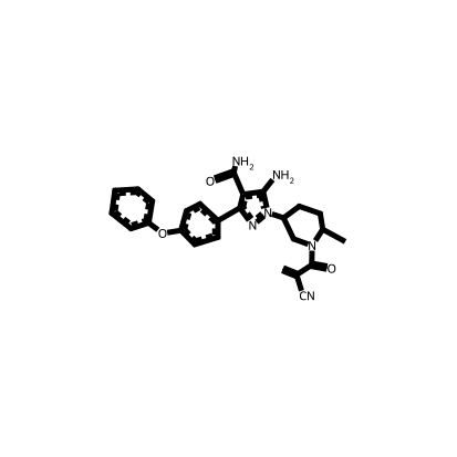 C=C(C#N)C(=O)N1CC(n2nc(-c3ccc(Oc4ccccc4)cc3)c(C(N)=O)c2N)CCC1C